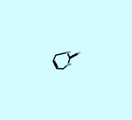 O=C1NCC=CCN1